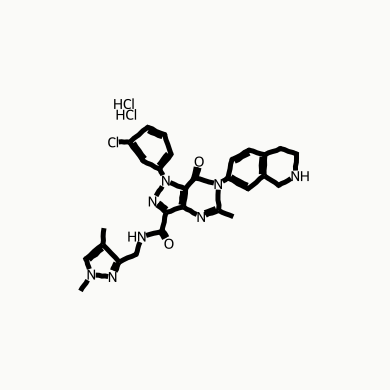 Cc1cn(C)nc1CNC(=O)c1nn(-c2cccc(Cl)c2)c2c(=O)n(-c3ccc4c(c3)CNCC4)c(C)nc12.Cl.Cl